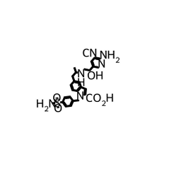 CC(Cc1ccc2c(c1)cc(C(=O)O)n2Cc1ccc(S(N)(=O)=O)cc1)NCC(O)c1cnc(N)c(C#N)c1